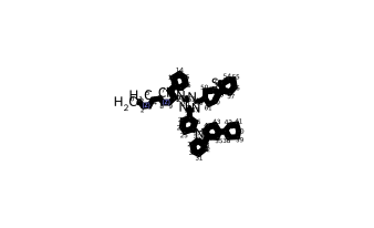 C=C/C=C\C(=C)C(=C)/C=C\c1cc2ccccc2n1-c1nc(-c2cccc(-n3c4ccccc4c4cc(C5=CCCC=C5)ccc43)c2)nc(C2C=c3sc4ccccc4c3=CC2)n1